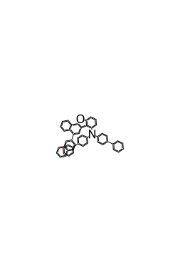 c1ccc(-c2ccc(N(c3ccc(-c4ccccc4)cc3)c3cccc4oc5c6ccccc6c(-c6ccc7ccccc7c6)cc5c34)cc2)cc1